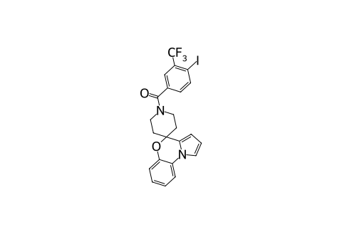 O=C(c1ccc(I)c(C(F)(F)F)c1)N1CCC2(CC1)Oc1ccccc1-n1cccc12